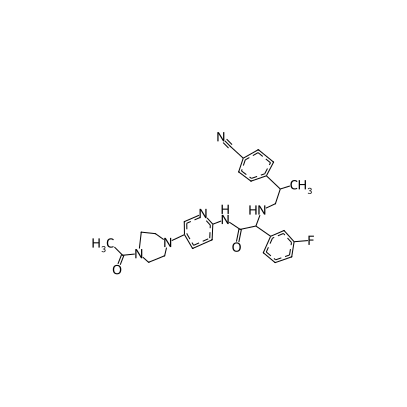 CC(=O)N1CCN(c2ccc(NC(=O)C(NCC(C)c3ccc(C#N)cc3)c3cccc(F)c3)nc2)CC1